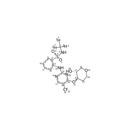 [2H]C([2H])([2H])NS(=O)(=O)c1ccccc1Nc1ncc(C(F)(F)F)c(O[C@@H]2CCOC[C@H]2O)n1